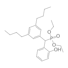 CCCCc1cc(CCCC)cc(C(c2ccccc2O)P(=O)(OCC)OCC)c1